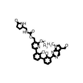 COc1nc(-c2cccc(-c3cccc(-c4ncc5c(C=O)cn(C)c5n4)c3Cl)c2Cl)ccc1COC(=O)NCC1CCC(=O)N1